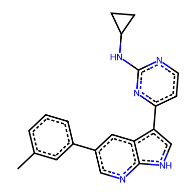 Cc1cccc(-c2cnc3[nH]cc(-c4ccnc(NC5CC5)n4)c3c2)c1